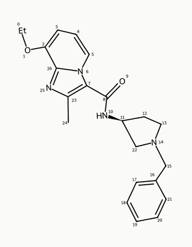 CCOc1cccn2c(C(=O)N[C@H]3CCN(Cc4ccccc4)C3)c(C)nc12